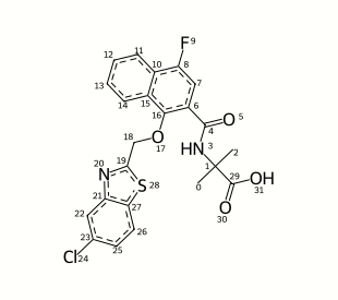 CC(C)(NC(=O)c1cc(F)c2ccccc2c1OCc1nc2cc(Cl)ccc2s1)C(=O)O